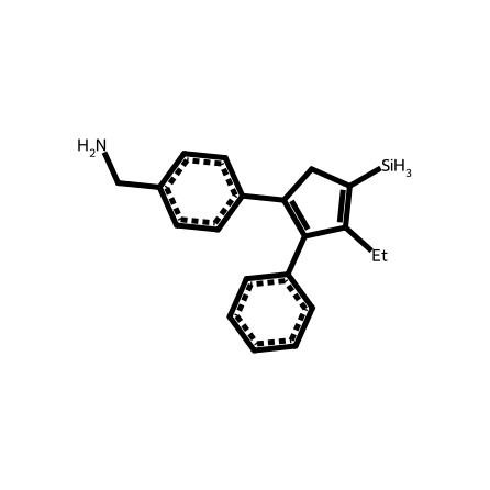 CCC1=C([SiH3])CC(c2ccc(CN)cc2)=C1c1ccccc1